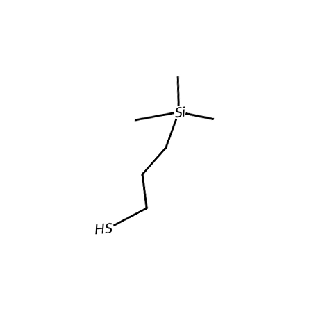 C[Si](C)(C)CCCS